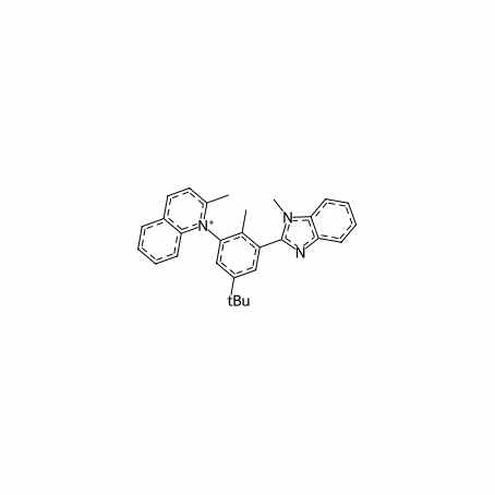 Cc1c(-c2nc3ccccc3n2C)cc(C(C)(C)C)cc1-[n+]1c(C)ccc2ccccc21